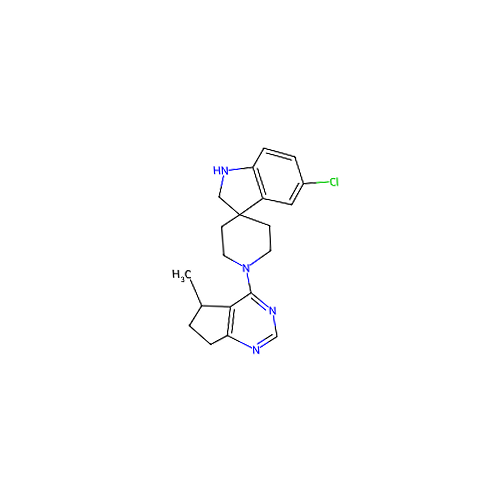 CC1CCc2ncnc(N3CCC4(CC3)CNc3ccc(Cl)cc34)c21